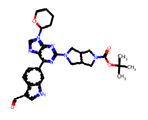 CC(C)(C)OC(=O)N1CC2CN(c3nc(-c4ccc5c(C=O)c[nH]c5c4)c4ncn(C5CCCCO5)c4n3)CC2C1